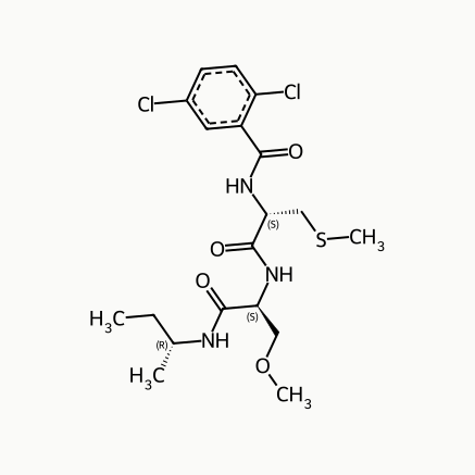 CC[C@@H](C)NC(=O)[C@H](COC)NC(=O)[C@@H](CSC)NC(=O)c1cc(Cl)ccc1Cl